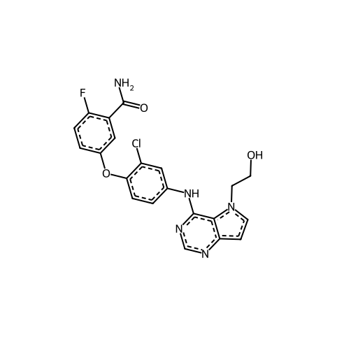 NC(=O)c1cc(Oc2ccc(Nc3ncnc4ccn(CCO)c34)cc2Cl)ccc1F